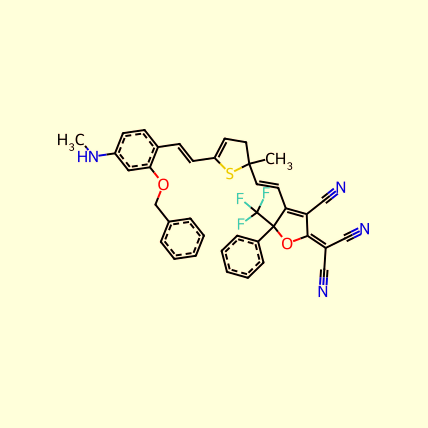 CNc1ccc(/C=C/C2=CCC(C)(/C=C/C3=C(C#N)C(=C(C#N)C#N)OC3(c3ccccc3)C(F)(F)F)S2)c(OCc2ccccc2)c1